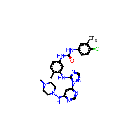 Cc1ccc(NC(=O)Nc2ccc(Cl)c(C(F)(F)F)c2)cc1Nc1ncnn1-c1cc(NN2CCN(C)CC2)ncn1